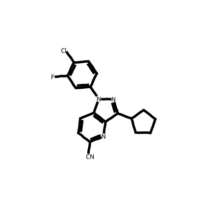 N#Cc1ccc2c(n1)c(C1CCCC1)nn2-c1ccc(Cl)c(F)c1